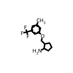 Cc1cc(OCC2CCCC2N)cc(C(F)(F)F)c1